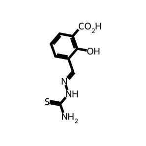 NC(=S)NN=Cc1cccc(C(=O)O)c1O